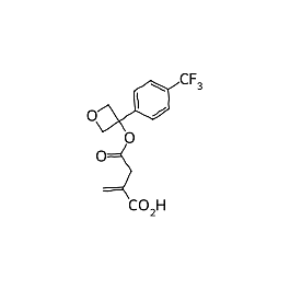 C=C(CC(=O)OC1(c2ccc(C(F)(F)F)cc2)COC1)C(=O)O